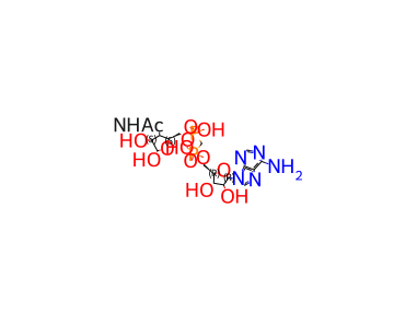 CC(=O)NC1[C@H](O)C(O)O[C@@H]1COP(=O)(O)CP(=O)(O)OC[C@H]1O[C@@H](n2cnc3c(N)ncnc32)C(O)C1O